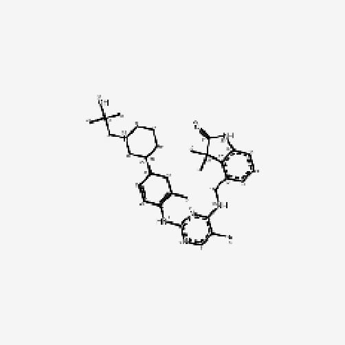 CC1=C(Nc2ncc(Br)c(NCc3cccc4c3C(C)(C)C(=O)N4)n2)C=CC([C@@H]2CCCN(CC(C)(C)O)C2)C1